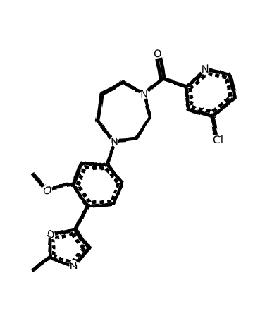 COc1cc(N2CCCN(C(=O)c3cc(Cl)ccn3)CC2)ccc1-c1cnc(C)o1